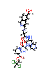 C[C@H](NC(=O)C(Cc1cccnc1)NC(=O)C(C)(C)/C=C/c1cc2cc([C@@H](C)O)ccc2cn1)C(=O)N1CCC[C@@H](C(=O)OCC(C)(Cl)Cl)N1